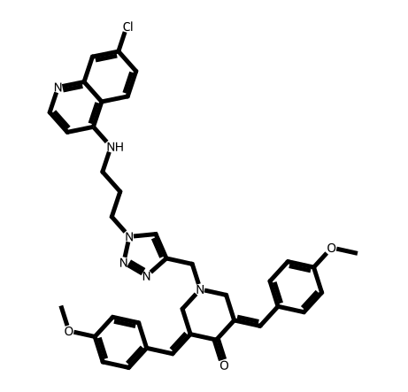 COc1ccc(/C=C2\CN(Cc3cn(CCCNc4ccnc5cc(Cl)ccc45)nn3)C/C(=C\c3ccc(OC)cc3)C2=O)cc1